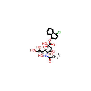 CO[C@]1(O)C[C@@](O)(C(=O)Oc2ccc(Cl)c3ccccc23)O[C@@H]([C@H](O)[C@H](O)CO)[C@@H]1NC(C)=O